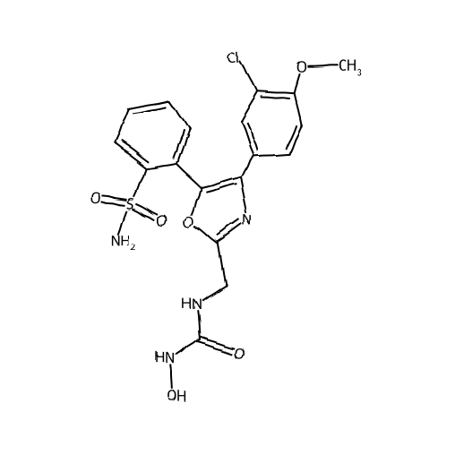 COc1ccc(-c2nc(CNC(=O)NO)oc2-c2ccccc2S(N)(=O)=O)cc1Cl